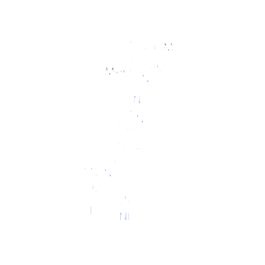 COc1cccc(OC)c1C(=O)N1CCN(c2ccc(-c3ccc(N4CC(C(C)C(N)=O)OC4=O)cc3F)cn2)CC1